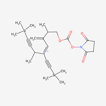 C=C(/C=C(/C#C[Si](C)(C)C)C(C)C#C[Si](C)(C)C)C(C)COC(=O)ON1C(=O)CCC1=O